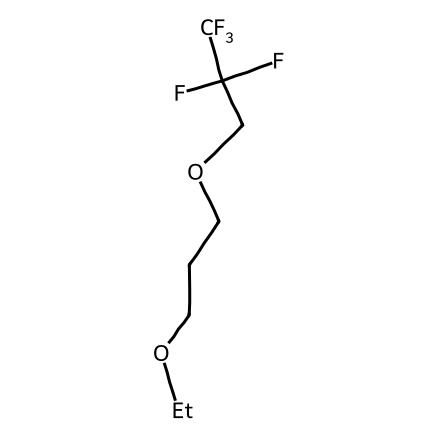 CCOCCCOCC(F)(F)C(F)(F)F